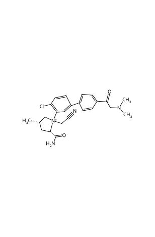 C[C@H]1C[C@@H](C(N)=O)[N+](CC#N)(c2cc(-c3ccc(C(=O)CN(C)C)cc3)ccc2Cl)C1